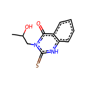 CC(O)Cn1c(=S)[nH]c2ccccc2c1=O